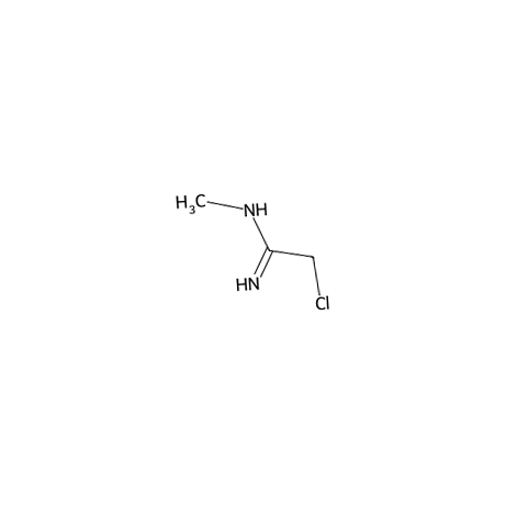 CNC(=N)CCl